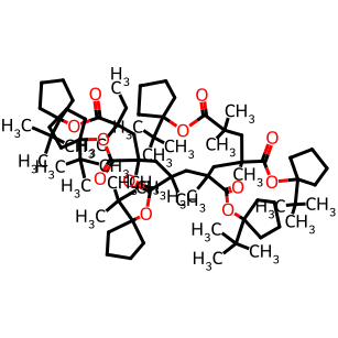 CCC(C)(CC(C)(CC(C)(CC(C)(CC(C)(CC(C)(C)C(=O)OC1(C(C)(C)C)CCCC1)C(=O)OC1(C(C)(C)C)CCCC1)C(=O)OC1(C(C)(C)C)CCCC1)C(=O)OC1(C(C)(C)C)CCCC1)C(=O)OC1(C(C)(C)C)CCCC1)C(=O)OC1(C(C)(C)C)CCCC1